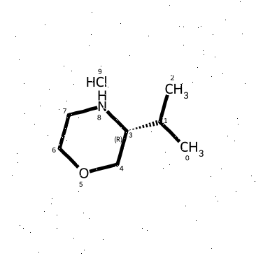 CC(C)[C@@H]1COCCN1.Cl